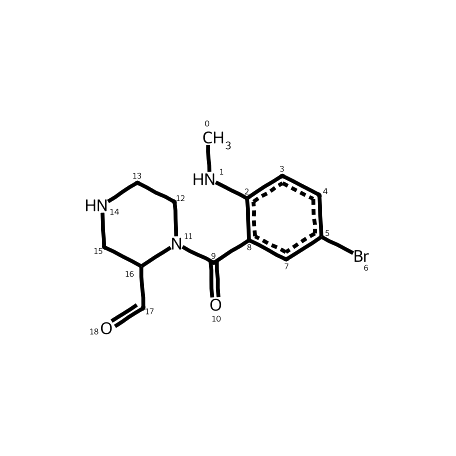 CNc1ccc(Br)cc1C(=O)N1CCNCC1C=O